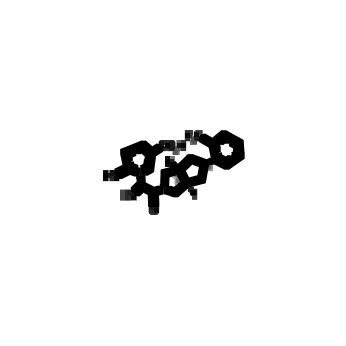 N=C(C(=O)N1C[C@H]2C[C@@H](c3ccccc3C(F)(F)F)C[C@@]2(I)C1)n1cc(C(=O)O)ccc1=N